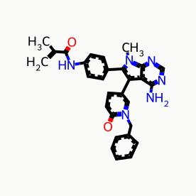 C=C(C)C(=O)Nc1ccc(-c2c(-c3ccc(=O)n(Cc4ccccc4)c3)c3c(N)ncnc3n2C)cc1